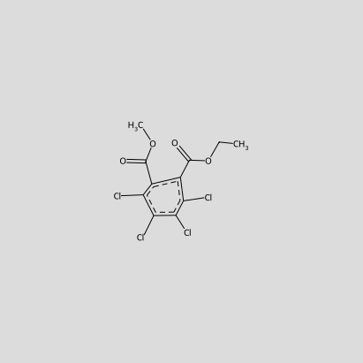 CCOC(=O)c1c(Cl)c(Cl)c(Cl)c(Cl)c1C(=O)OC